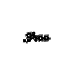 NCSC[C@H](NC(=O)c1ccc(-c2ccccc2)cc1)C(=O)N1CCCCC1